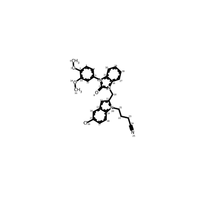 COc1ccc(-n2c(=O)n(Cc3cc4cc(Cl)ccc4n3CCCC#N)c3ccccc32)cc1OC